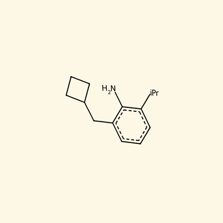 CC(C)c1cccc(CC2CCC2)c1N